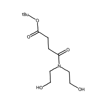 CC(C)(C)OC(=O)CCC(=O)N(CCO)CCO